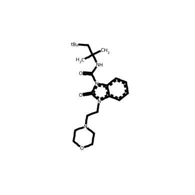 CC(C)(C)CC(C)(C)NC(=O)n1c(=O)n(CCN2CCOCC2)c2ccccc21